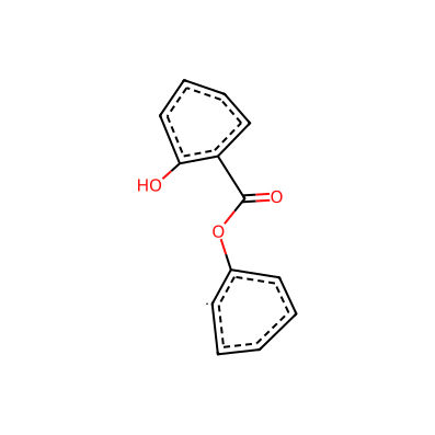 O=C(Oc1[c]cccc1)c1ccccc1O